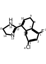 Fc1cc(Cl)cc2c1CCC=C2C1=NCCN1